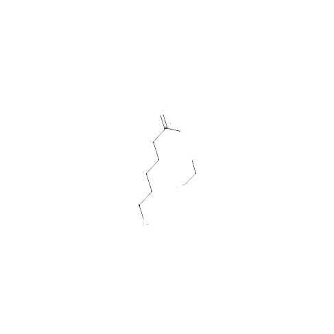 ClCCl.O=C(Cl)CCCCCBr